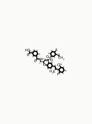 COc1cc(S(=O)(=O)N2C[C@H](CNC(=O)c3cccc(C(=O)O)c3)Oc3ccc(/C=C(\C)c4c(F)cccc4Cl)cc32)ccc1F